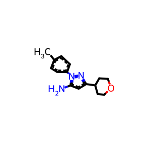 Cc1ccc(-n2nc(C3CCOCC3)cc2N)cc1